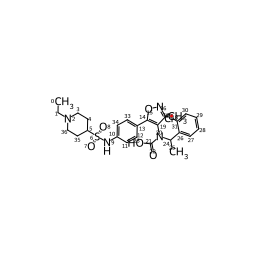 CCN1CCC(S(=O)(=O)Nc2ccc(-c3onc(C)c3N(C(=O)O)C(C)c3ccccc3Cl)cc2)CC1